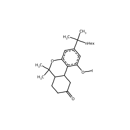 CCCCCCC(C)(C)c1cc(OI)c2c(c1)OC(C)(C)C1CCC(=O)CC21